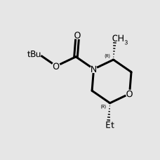 CC[C@@H]1CN(C(=O)OC(C)(C)C)[C@H](C)CO1